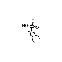 CCCCC(C)(CCCC)c1c(O)c(=O)c1=O